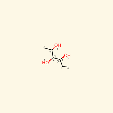 CC[C@H](O)[C@@H](O)C(C)O